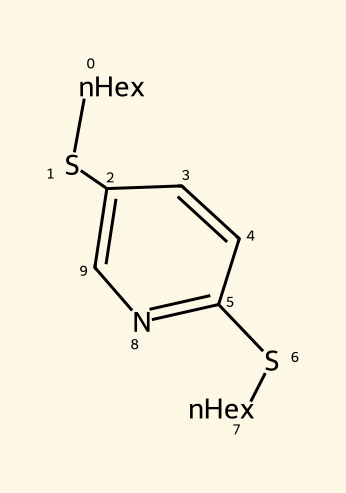 CCCCCCSc1ccc(SCCCCCC)nc1